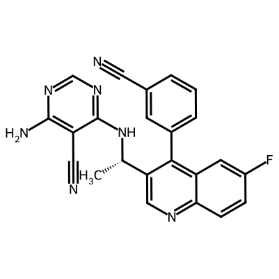 C[C@H](Nc1ncnc(N)c1C#N)c1cnc2ccc(F)cc2c1-c1cccc(C#N)c1